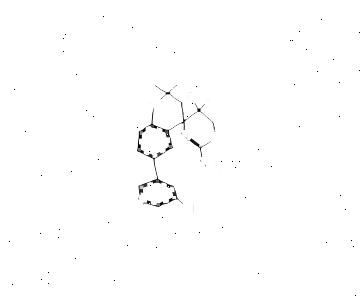 CC1(C)CC2(N=C(N)OCC2(F)F)c2cc(-c3cncc(Cl)c3)ccc2O1